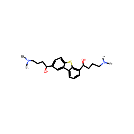 CCN(CC)CCCC(O)c1ccc2sc3c(C(O)CCCN(CC)CC)cccc3c2c1